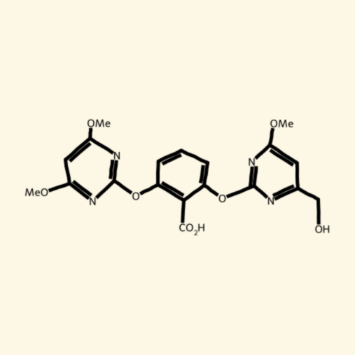 COc1cc(CO)nc(Oc2cccc(Oc3nc(OC)cc(OC)n3)c2C(=O)O)n1